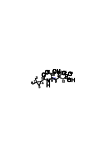 CC1(C)CC1C(=O)N/C(=C/CCP(=O)(O)O)C(=O)O